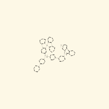 c1ccc(-c2ccc(N(c3ccc(-c4cccc(-n5c6ccccc6c6ccncc65)c4)cc3)c3ccc4c(c3)C3(c5ccccc5-c5ccccc53)c3ccccc3-4)cc2)cc1